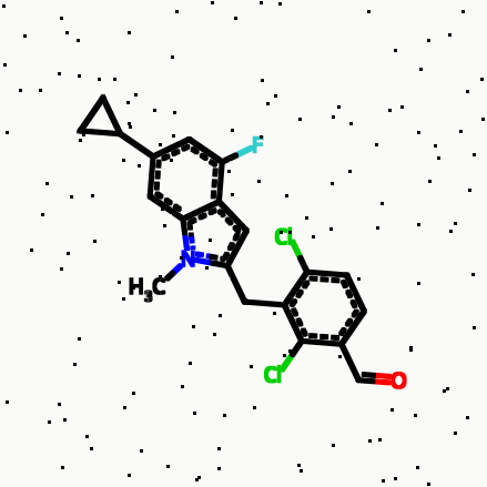 Cn1c(Cc2c(Cl)ccc(C=O)c2Cl)cc2c(F)cc(C3CC3)cc21